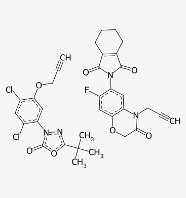 C#CCN1C(=O)COc2cc(F)c(N3C(=O)C4=C(CCCC4)C3=O)cc21.C#CCOc1cc(-n2nc(C(C)(C)C)oc2=O)c(Cl)cc1Cl